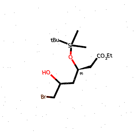 CCOC(=O)C[C@@H](CC(O)CBr)O[Si](C)(C)C(C)(C)C